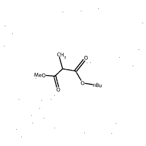 CCCCOC(=O)C(C)C(=O)OC